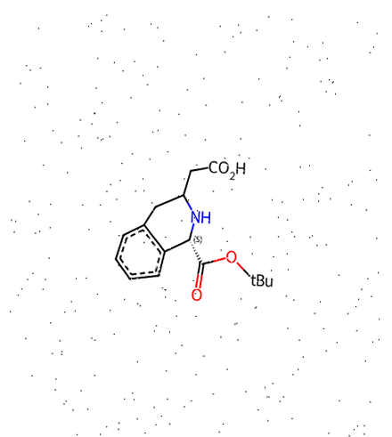 CC(C)(C)OC(=O)[C@H]1NC(CC(=O)O)Cc2ccccc21